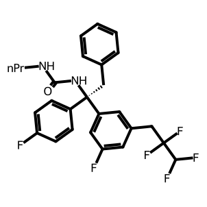 CCCNC(=O)N[C@](Cc1ccccc1)(c1ccc(F)cc1)c1cc(F)cc(CC(F)(F)C(F)F)c1